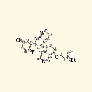 CCN(CC)CCOc1ncc(-c2cc(-c3cc(Cl)ccc3F)nc3ncccc23)c2ccncc12